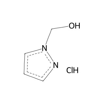 Cl.OCn1cccn1